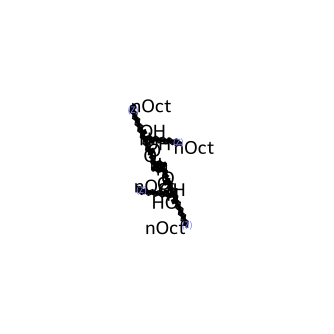 CCCCCCCC/C=C\CCCCCCC(O)CN(CCCC(=O)OCCN1CC(C)N(CCOC(=O)CCCN(CC(O)CCCCCC/C=C\CCCCCCCC)CC(O)CCCCCC/C=C\CCCCCCCC)CC1C)CC(O)CCCCCC/C=C\CCCCCCCC